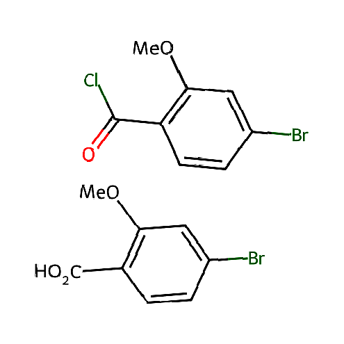 COc1cc(Br)ccc1C(=O)Cl.COc1cc(Br)ccc1C(=O)O